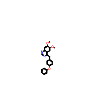 COc1cc2ncnc(Cc3ccc(Oc4ccccc4)cc3)c2cc1OC